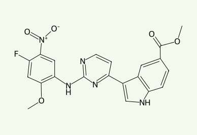 COC(=O)c1ccc2[nH]cc(-c3ccnc(Nc4cc([N+](=O)[O-])c(F)cc4OC)n3)c2c1